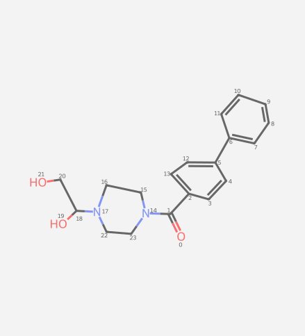 O=C(c1ccc(-c2ccccc2)cc1)N1CCN(C(O)CO)CC1